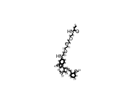 C=CC(=O)NCCOCCOCCOCCNc1ccc2c([C@H]3CN(Cc4ccccc4OC)C[C@@H]3N(C)C)cn(C)c2c1